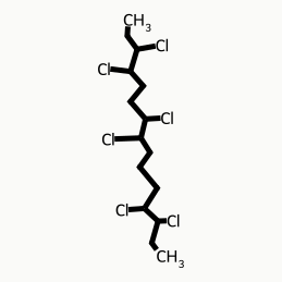 CCC(Cl)C(Cl)CCCC(Cl)C(Cl)CCC(Cl)C(Cl)CC